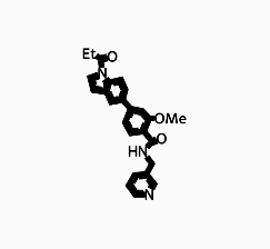 CCC(=O)n1ccc2cc(-c3ccc(C(=O)NCc4cccnc4)c(OC)c3)ccc21